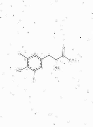 COC(=O)[C@H](N)Cc1cc(F)c(O)c(Cl)c1